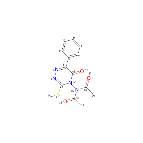 CSc1nnc(-c2ccccc2)c(=O)n1N(C(C)=O)C(C)=O